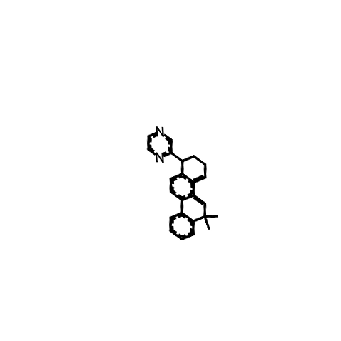 CC1(C)C=c2c(ccc3c2=CCCC3c2cnccn2)-c2ccccc21